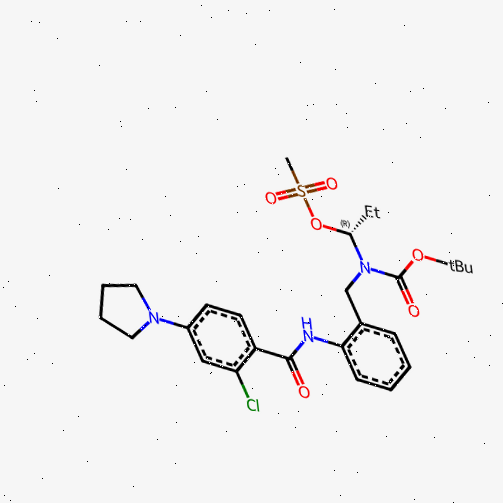 CC[C@@H](OS(C)(=O)=O)N(Cc1ccccc1NC(=O)c1ccc(N2CCCC2)cc1Cl)C(=O)OC(C)(C)C